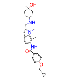 Cc1c(NC(=O)c2ccc(OCC3CC3)cc2)ccc2cc(CNC3CCC(C)(O)CC3)n(C)c12